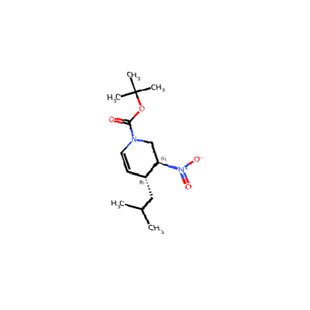 CC(C)C[C@@H]1C=CN(C(=O)OC(C)(C)C)C[C@H]1[N+](=O)[O-]